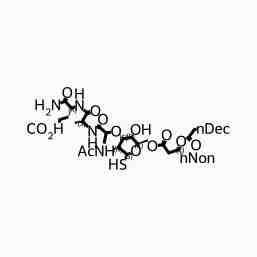 CCCCCCCCCCCC(=O)O[C@H](CCCCCCCCC)CC(=O)OC[C@H]1O[C@@H](S)[C@H](NC(C)=O)[C@H](OC(C)C(=O)N[C@@H](C)C(=O)N[C@H](CCC(=O)O)C(N)=O)[C@@H]1O